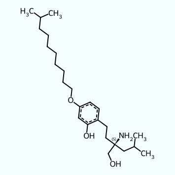 CC(C)CCCCCCCCOc1ccc(CC[C@@](N)(CO)CC(C)C)c(O)c1